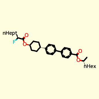 CCCCCCC[C@H](F)C(=O)O[C@H]1CC[C@H](c2ccc(-c3ccc(C(=O)O[C@H](C)CCCCCC)cc3)cc2)CC1